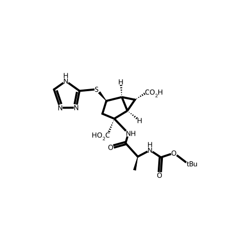 C[C@H](NC(=O)OC(C)(C)C)C(=O)N[C@@]1(C(=O)O)C[C@@H](Sc2nnc[nH]2)[C@H]2[C@H](C(=O)O)[C@H]21